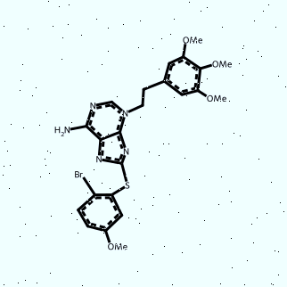 COc1ccc(Br)c(Sc2nc3c(N)ncn(CCc4cc(OC)c(OC)c(OC)c4)c-3n2)c1